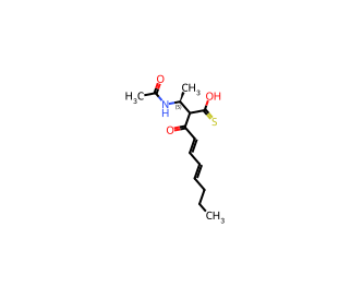 CCCC=CC=CC(=O)C(C(O)=S)[C@H](C)NC(C)=O